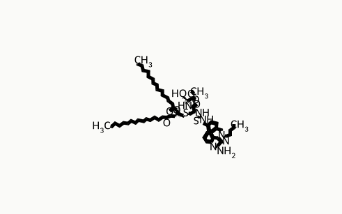 CCCCCCCCCCCCCCCC(=O)CC[C@H](CSCC(NC(=S)NCc1ccc(Cn2c(CCCC)nc3c(N)nc4ccccc4c32)cc1)C(=O)N[C@@H](CO)C(=O)OC)OC(=O)CCCCCCCCCCCCCCC